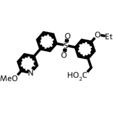 CCOc1cc(CC(=O)O)cc(S(=O)(=O)c2cccc(-c3ccc(OC)nc3)c2)c1